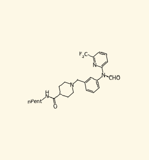 CCCCCNC(=O)C1CCN(Cc2cccc(N(C=O)c3cccc(C(F)(F)F)n3)c2)CC1